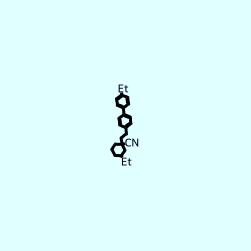 CCc1ccc(-c2ccc(CCC3(C#N)CCCC(CC)C3)cc2)cc1